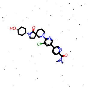 CN(C)C(=O)c1ccc(-c2cnc(N3CCCC4(CCN([C@H]5CC[C@@H](O)CC5)C4=O)C3)c(Cl)c2)cn1